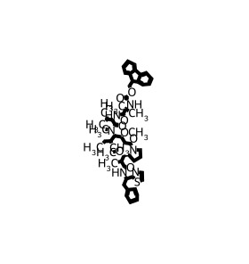 CCC(C)C(C(CC(=O)N1CCC[C@H]1C(OC)C(C)C(=O)NC(Cc1ccccc1)c1nccs1)OC)N(C)C(=O)C(NC(=O)C(C)(C)NC(=O)OCC1c2ccccc2-c2ccccc21)C(C)C